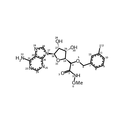 CONC(=O)C(OCc1cccc(I)c1)[C@H]1O[C@@H](n2cnc3c(N)ncnc32)[C@H](O)[C@@H]1O